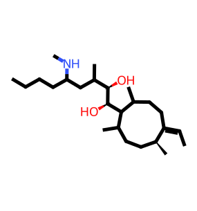 C/C=C1/CCC(C)C([C@@H](O)[C@H](O)C(C)CC(CCCC)NC)C(C)CC[C@@H]1C